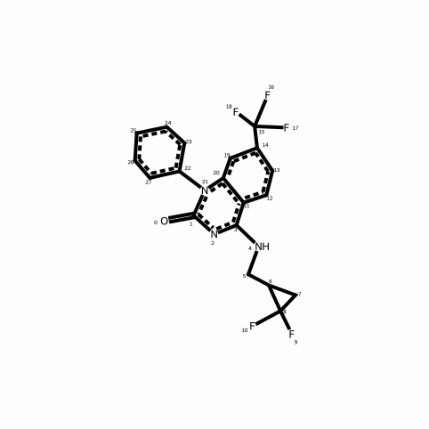 O=c1nc(NCC2CC2(F)F)c2ccc(C(F)(F)F)cc2n1-c1ccccc1